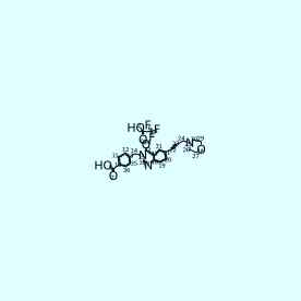 O=C(O)C(F)(F)F.O=C(O)c1ccc(Cn2cnc3ccc(C#CCN4CCOCC4)cc3c2=O)cc1